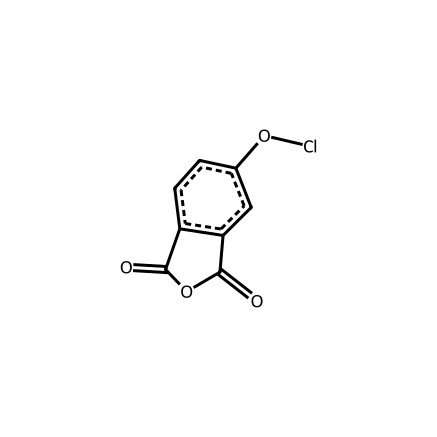 O=C1OC(=O)c2cc(OCl)ccc21